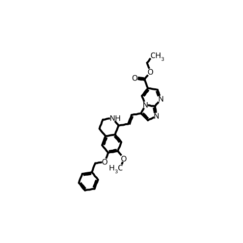 CCOC(=O)c1cnc2ncc(/C=C/C3NCCc4cc(OCc5ccccc5)c(OC)cc43)n2c1